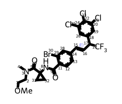 COCCN(C)C(=O)C1(NC(=O)c2ccc(/C=C/C(c3cc(Cl)c(Cl)c(Cl)c3)C(F)(F)F)cc2Br)CC1